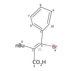 CCCC/C(C(=O)O)=C(/Br)c1ccccc1